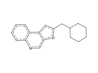 c1ccc2c(c1)ncc1oc(CC3CCCCC3)cc12